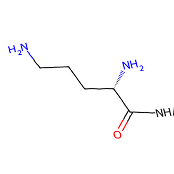 CC(=O)NC(=O)[C@@H](N)CCCN